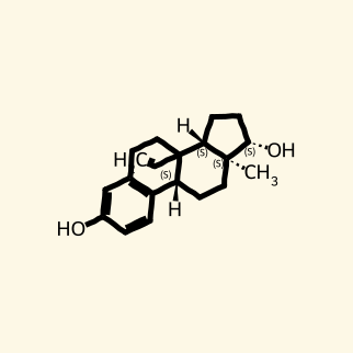 C=CC12CCc3cc(O)ccc3[C@H]1CC[C@]1(C)[C@@H](O)CC[C@@H]21